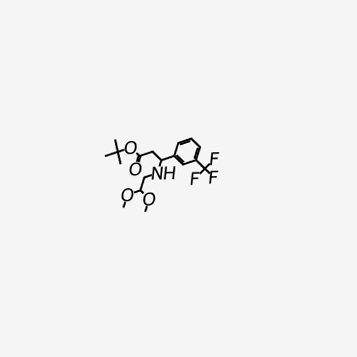 COC(CNC(CC(=O)OC(C)(C)C)c1cccc(C(F)(F)F)c1)OC